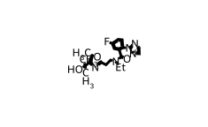 CCN(CCc1nc(C(C)(C)O)c(C)o1)C(=O)c1cc(F)ccc1-n1nccn1